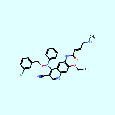 CCOc1cc2ncc(C#N)c(N(OCc3cccc(Cl)c3)c3ccccc3)c2cc1NC(=O)C=CCNC